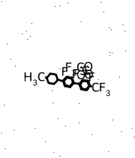 CC1CCC(c2ccc(-c3ccc(C(F)(F)F)c(F)c3OS(=O)(=O)C(F)(F)F)c(F)c2F)CC1